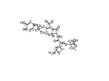 CC(C)(ON=C(C(=O)N[C@@H]1C(=O)N2C(C(=O)[O-])=C(C[N+](C)(C)Cc3cc(=O)c(O)c[nH]3)CS[C@@H]12)c1csc(N)n1)C(=O)O